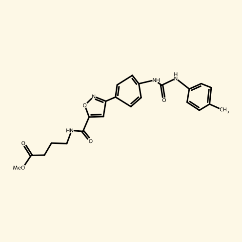 COC(=O)CCCNC(=O)c1cc(-c2ccc(NC(=O)Nc3ccc(C)cc3)cc2)no1